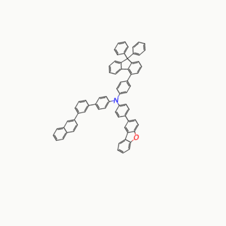 c1ccc(C2(c3ccccc3)c3ccccc3-c3c(-c4ccc(N(c5ccc(-c6cccc(-c7ccc8ccccc8c7)c6)cc5)c5ccc(-c6ccc7oc8ccccc8c7c6)cc5)cc4)cccc32)cc1